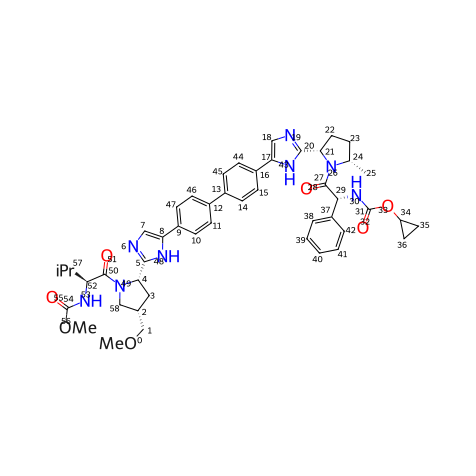 COC[C@H]1C[C@@H](c2ncc(-c3ccc(-c4ccc(-c5cnc([C@@H]6CC[C@H](C)N6C(=O)[C@H](NC(=O)OC6CC6)c6ccccc6)[nH]5)cc4)cc3)[nH]2)N(C(=O)[C@@H](NC(=O)OC)C(C)C)C1